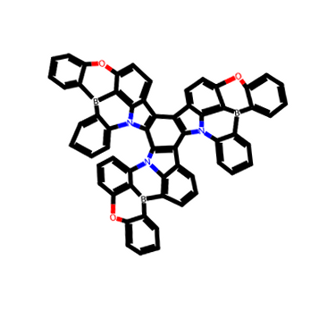 c1ccc2c(c1)Oc1ccc3c4c5c6ccc7c8c6n(c5c5c(c6cccc9c6n5-c5cccc6c5B9c5ccccc5O6)c4n4c3c1B2c1ccccc1-4)-c1ccccc1B8c1ccccc1O7